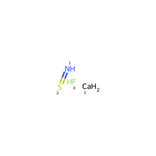 F.N=S.[CaH2]